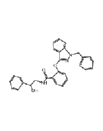 O=C(NCC(O)c1ccccc1)c1ccccc1Oc1nn(Cc2ccccc2)c2ccccc12